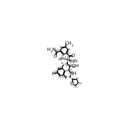 CCC[N+](CCC)(C(=O)c1cc(C)cc(C(N)=O)c1)[C@@H](Cc1cc(F)cc(F)c1)[C@H](O)CNC[C@@H]1CCCO1